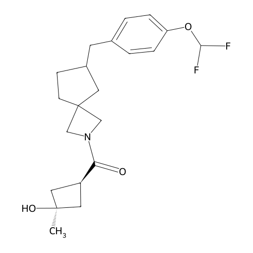 C[C@]1(O)C[C@@H](C(=O)N2CC3(CCC(Cc4ccc(OC(F)F)cc4)C3)C2)C1